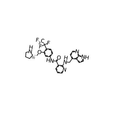 O=C(Nc1ccc(C(F)(F)C(F)(F)F)c(OC[C@@H]2CCCN2)c1)c1cccnc1NCc1ccnc2[nH]ccc12